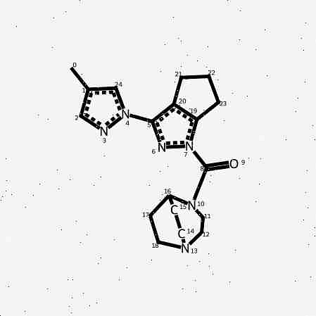 Cc1cnn(-c2nn(C(=O)N3CCN4CCC3CC4)c3c2CCC3)c1